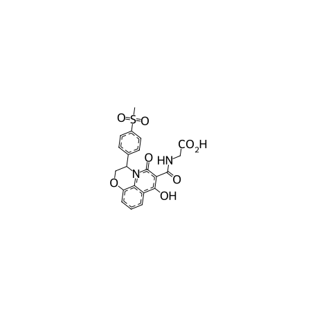 CS(=O)(=O)c1ccc(C2COc3cccc4c(O)c(C(=O)NCC(=O)O)c(=O)n2c34)cc1